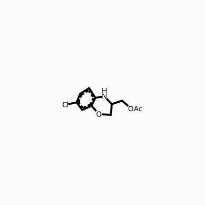 CC(=O)OCC1COc2cc(Cl)ccc2N1